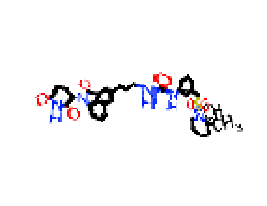 CC1(C)CCCCN1S(=O)(=O)Cc1cccc(NC(=O)NCCCc2cc3c4c(cccc4c2)N(C2CCC(=O)NC2=O)C3=O)c1